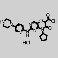 CC(=O)C1Oc2cnc(Nc3ccc(N4CCNCC4)cn3)nc2N(C2CCCC2)C1=O.Cl